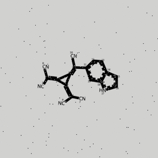 N#CC(C#N)=C1C(=C(C#N)C#N)C1=C(C#N)c1ccc2cc[nH]c2c1